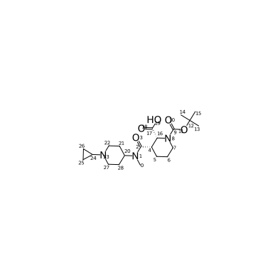 CN(C(=O)[C@H]1CCCN(C(=O)OC(C)(C)C)[C@H]1C(=O)O)C1CCN(C2CC2)CC1